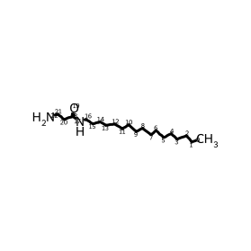 CCCCCCCCCCCCCCCCCNC(=O)CCN